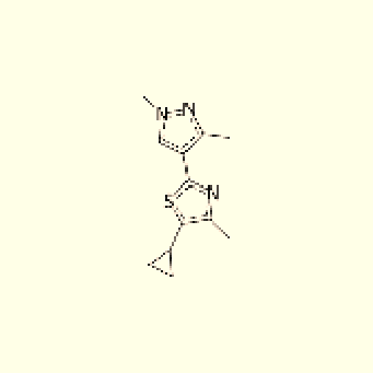 Cc1nn(C)cc1-c1nc(C)c(C2CC2)s1